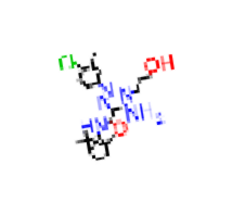 Cc1cc(/N=N/C(C(=O)NC2C3(C)CCC(C3)C2(C)C)/C(N)=N/CCCO)ccc1Cl